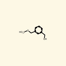 O=S(=O)(O)OCc1cccc(CO)c1